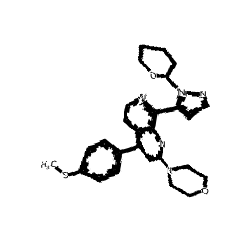 CSc1ccc(-c2cc(N3CCOCC3)nc3c(-c4ccnn4C4CCCCO4)nccc23)cc1